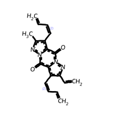 C=C/C=C\c1c(C)nn2c(=O)c3c(/C=C\C=C)c(C=C)nn3c(=O)c12